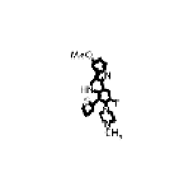 COc1ccc2nc3c4cc(F)c(N5CCN(C)CC5)c(-c5cccs5)c4[nH]cc-3c2c1